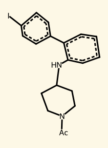 CC(=O)N1CCC(Nc2ccccc2-c2ccc(I)cc2)CC1